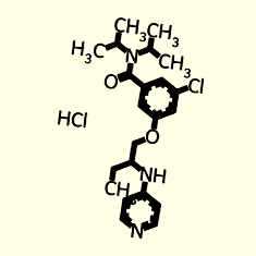 CCC(COc1cc(Cl)cc(C(=O)N(C(C)C)C(C)C)c1)Nc1ccncc1.Cl